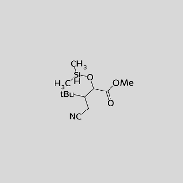 COC(=O)C(O[SiH](C)C)C(CC#N)C(C)(C)C